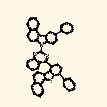 c1ccc(-c2ccc3c(c2)c2c4ccccc4ccc2n3-c2nc(-c3ccc(-c4ccccc4)c4sc5c6ccccc6ccc5c34)c3ccccc3n2)cc1